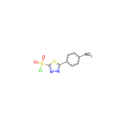 O=[N+]([O-])c1ccc(-c2nnc(S(=O)(=O)Cl)s2)cc1